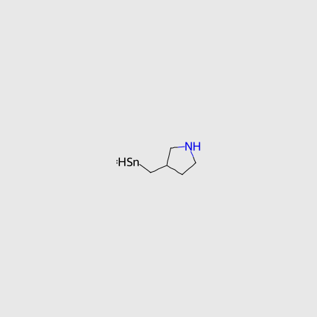 [SnH][CH2]C1CCNC1